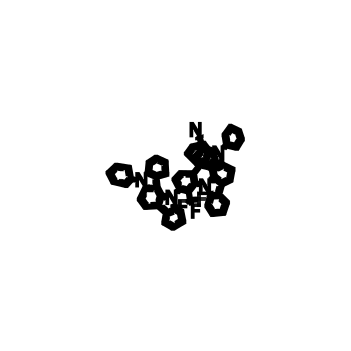 N#Cc1cccc(-c2ccc(-n3c4ccccc4c4ccc5c(c6ccccc6n5-c5ccccc5)c43)c(C(F)(F)F)c2-n2c3ccccc3c3ccc4c(c5ccccc5n4-c4ccccc4)c32)c1